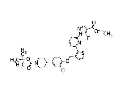 CCOC(=O)c1cnn(-c2cccc(-c3sccc3COc3ccc(C4CCN(C(=O)OC(C)(C)C)CC4)cc3Cl)n2)c1F